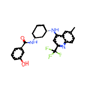 Cc1ccc2nc(C(F)(F)F)cc(N[C@H]3CCC[C@@H](NC(=O)c4cccc(O)c4)C3)c2c1